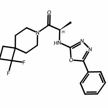 C[C@@H](Nc1nnc(-c2ccccc2)o1)C(=O)N1CCC2(CC1)CCC2(F)F